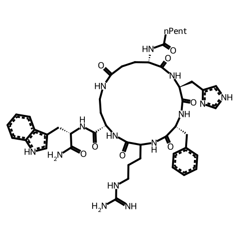 CCCCCC(=O)N[C@H]1CCC(=O)NCC[C@@H](C(=O)N[C@@H](Cc2c[nH]c3ccccc23)C(N)=O)NC(=O)C(CCCNC(=N)N)NC(=O)[C@@H](Cc2ccccc2)NC(=O)[C@H](Cc2c[nH]cn2)NC1=O